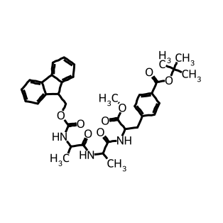 COC(=O)C(Cc1ccc(C(=O)OC(C)(C)C)cc1)NC(=O)C(C)NC(=O)C(C)NC(=O)OCC1c2ccccc2-c2ccccc21